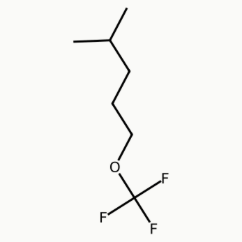 CC(C)CCCOC(F)(F)F